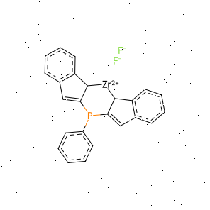 C1=C2[CH]([Zr+2][CH]3C(=Cc4ccccc43)P2c2ccccc2)c2ccccc21.[F-].[F-]